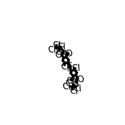 O=C1C2CC(Cl)C(SSC3CC4C(=O)N(SC(Cl)(Cl)C(Cl)Cl)C(=O)C4CC3Cl)CC2C(=O)N1SC(Cl)(Cl)C(Cl)Cl